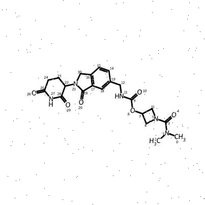 CN(C)C(=O)N1CC(OC(=O)NCc2ccc3c(c2)C(=O)N(C2CCC(=O)NC2=O)C3)C1